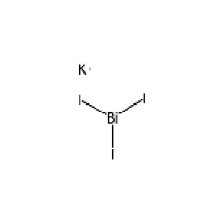 [I][Bi]([I])[I].[K]